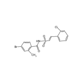 Cc1cc(Br)ccc1C(=O)NS(=O)(=O)/C=C/c1ccccc1Cl